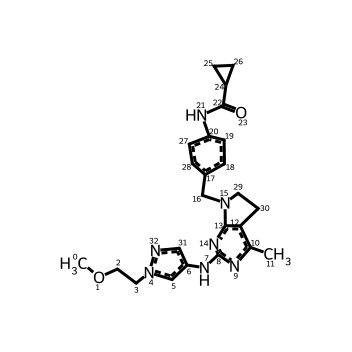 COCCn1cc(Nc2nc(C)c3c(n2)N(Cc2ccc(NC(=O)C4CC4)cc2)CC3)cn1